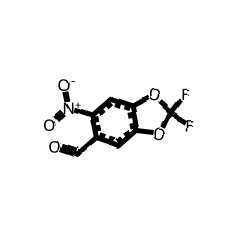 O=Cc1cc2c(cc1[N+](=O)[O-])OC(F)(F)O2